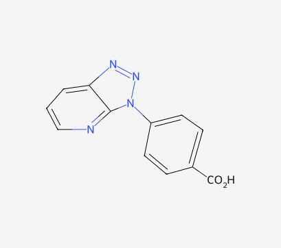 O=C(O)c1ccc(-n2nnc3cccnc32)cc1